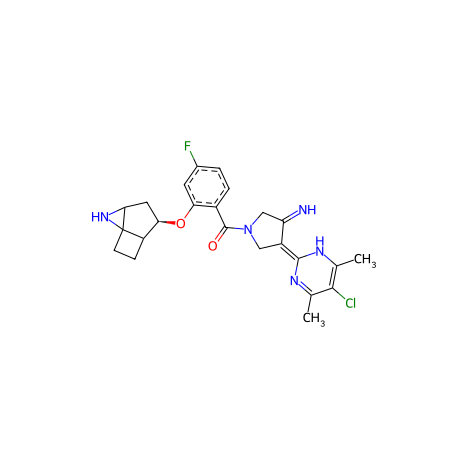 CC1=N/C(=C2\CN(C(=O)c3ccc(F)cc3O[C@@H]3CC4NC45CCC35)CC2=N)NC(C)=C1Cl